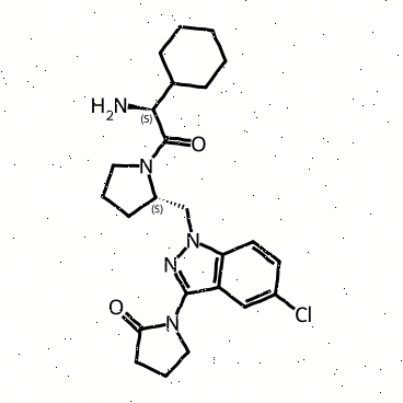 N[C@H](C(=O)N1CCC[C@H]1Cn1nc(N2CCCC2=O)c2cc(Cl)ccc21)C1CCCCC1